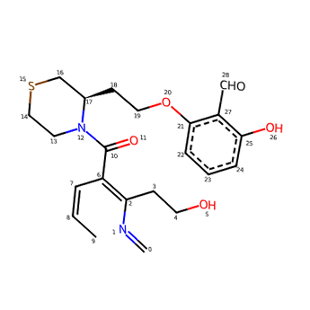 C=N/C(CCO)=C(\C=C/C)C(=O)N1CCSC[C@H]1CCOc1cccc(O)c1C=O